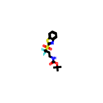 CC(C)(C)OC(=O)NCCC(F)(F)S(=O)(=O)c1nc2ccccc2s1